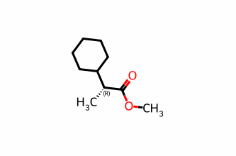 COC(=O)[C@H](C)C1CCCCC1